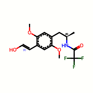 COc1cc(C[C@@H](C)NC(=O)C(F)(F)F)c(OC)cc1/C=C/O